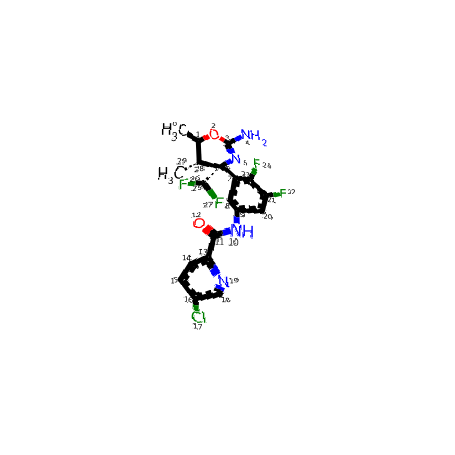 CC1OC(N)=N[C@](c2cc(NC(=O)c3ccc(Cl)cn3)cc(F)c2F)(C(F)F)[C@@H]1C